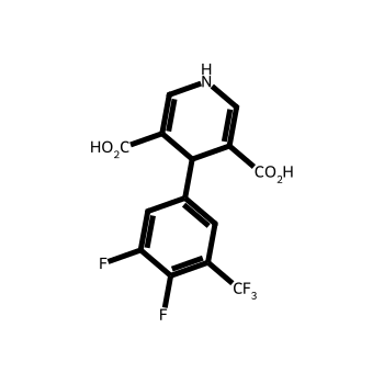 O=C(O)C1=CNC=C(C(=O)O)C1c1cc(F)c(F)c(C(F)(F)F)c1